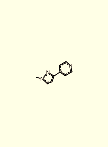 Cn1[c]cc(-c2ccncc2)n1